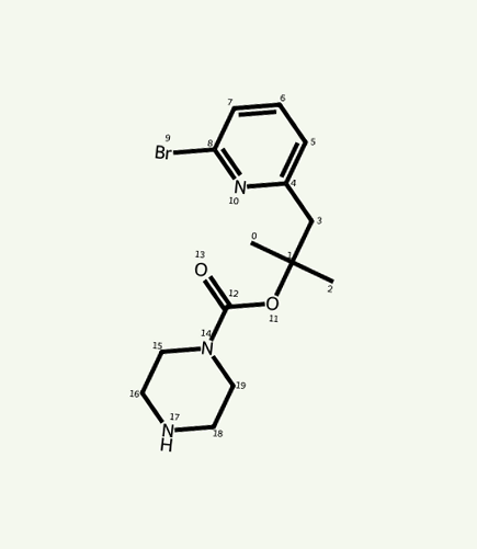 CC(C)(Cc1cccc(Br)n1)OC(=O)N1CCNCC1